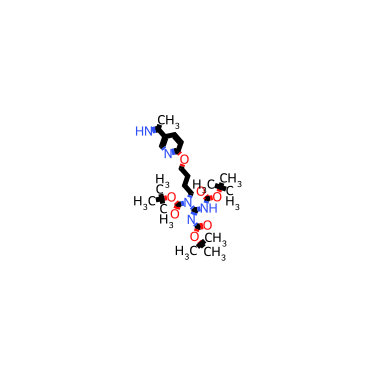 CC(=N)c1ccc(OCCCCN(C(=O)OC(C)(C)C)/C(=N/C(=O)OC(C)(C)C)NC(=O)OC(C)(C)C)nc1